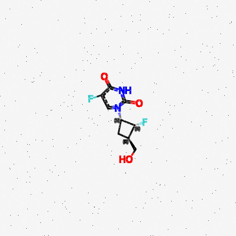 O=c1[nH]c(=O)n([C@H]2C[C@H](CO)[C@H]2F)cc1F